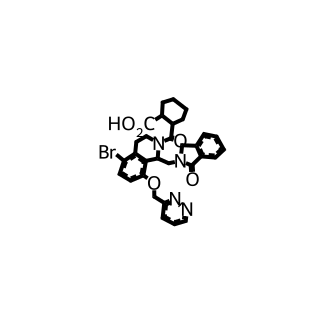 O=C(O)C1CCCCC1C(=O)N1CCc2c(Br)ccc(OCc3cccnn3)c2C1CN1Cc2ccccc2C1=O